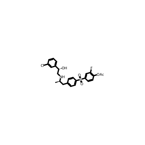 CC(=O)Oc1ccc(S(=O)(=O)c2ccc(C[C@@H](C)NC[C@@H](O)c3cccc(Cl)c3)cc2)cc1F